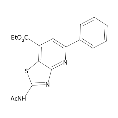 CCOC(=O)c1cc(-c2ccccc2)nc2nc(NC(C)=O)sc12